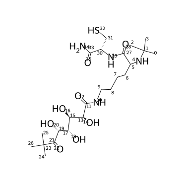 CC(C)(C)NC(CCCCNC(=O)[C@@H](O)[C@H](O)[C@H](O)[C@@H](O)C(=O)C(C)(C)C)C(=O)N[C@@H](CS)C(N)=O